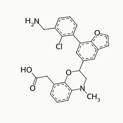 CN1CC(c2cc(-c3cccc(CN)c3Cl)c3occc3c2)Oc2c(CC(=O)O)cccc21